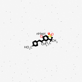 CCCCCCCOc1cc2c(cc1/C(C)=C/c1ccc(C(=O)O)cc1)C(C)(C)CS2(=O)=O